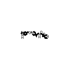 O=C(NCC1CC12CCN(COCc1ccc3[nH]cnc3c1)CC2)c1cc2ccncc2o1